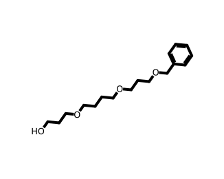 OCCCOCCCCOCCCOCc1ccccc1